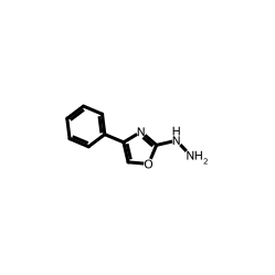 NNc1nc(-c2ccccc2)co1